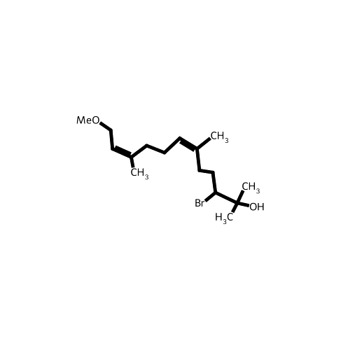 COCC=C(C)CCC=C(C)CCC(Br)C(C)(C)O